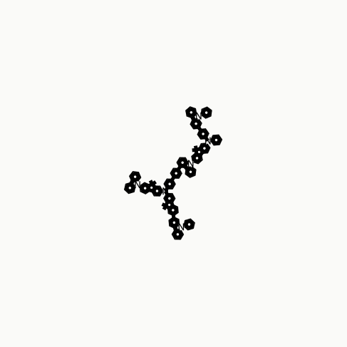 CC1(C)c2cc(-c3ccc4c5ccccc5n(-c5ccccc5)c4c3)ccc2-c2ccc(N(c3ccc(-c4ccc(-c5cccc6c5c5ccccc5n6-c5ccc6c(c5)C(C)(C)c5cc(N(c7ccccc7)c7ccc(-c8ccc9c%10ccccc%10n(-c%10ccccc%10)c9c8)cc7)ccc5-6)cc4)cc3)c3ccc4c(c3)C(C)(C)c3cc(-n5c6ccccc6c6ccccc65)ccc3-4)cc21